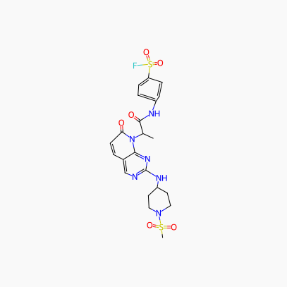 CC(C(=O)Nc1ccc(S(=O)(=O)F)cc1)n1c(=O)ccc2cnc(NC3CCN(S(C)(=O)=O)CC3)nc21